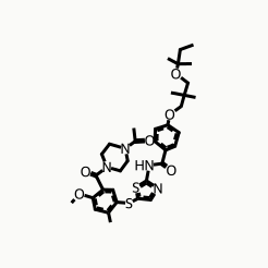 CCC(C)(C)OCC(C)(C)COc1ccc(C(=O)Nc2ncc(Sc3cc(C(=O)N4CCN(C(C)=O)CC4)c(OC)cc3C)s2)cc1